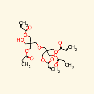 C=CC(=O)OCC(CO)(COCC(COC(=O)C=C)(COC(=O)C=C)COC(=O)CC)COC(=O)C=C